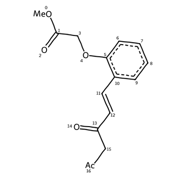 COC(=O)COc1ccccc1C=CC(=O)CC(C)=O